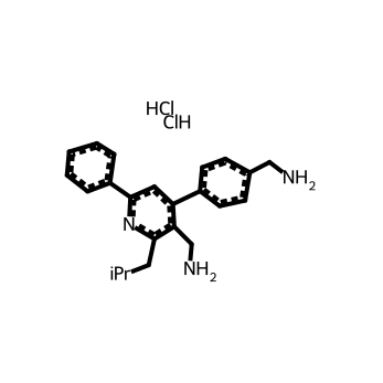 CC(C)Cc1nc(-c2ccccc2)cc(-c2ccc(CN)cc2)c1CN.Cl.Cl